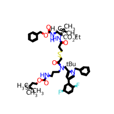 CCOC(=O)[C@@](CNC(=O)OCc1ccccc1)(NC(=O)CCSCC(=O)N(CCCNC(=O)OCC[Si](C)(C)C)[C@@H](c1cc(-c2cc(F)ccc2F)cn1Cc1ccccc1)C(C)(C)C)[Si](C)(C)C